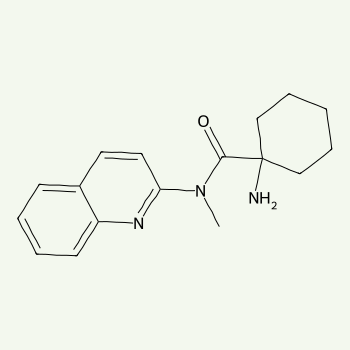 CN(C(=O)C1(N)CCCCC1)c1ccc2ccccc2n1